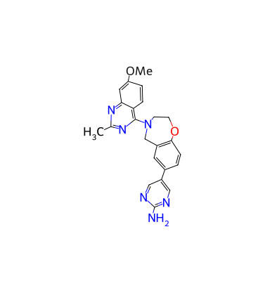 COc1ccc2c(N3CCOc4ccc(-c5cnc(N)nc5)cc4C3)nc(C)nc2c1